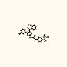 CC(c1ccc(CC(=O)Nc2nc(-c3cccc(Cl)c3)c(C(=O)c3ccccc3Cl)s2)cc1)[SH](=O)=O